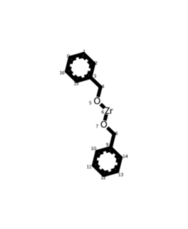 c1ccc(C[O][Zr][O]Cc2ccccc2)cc1